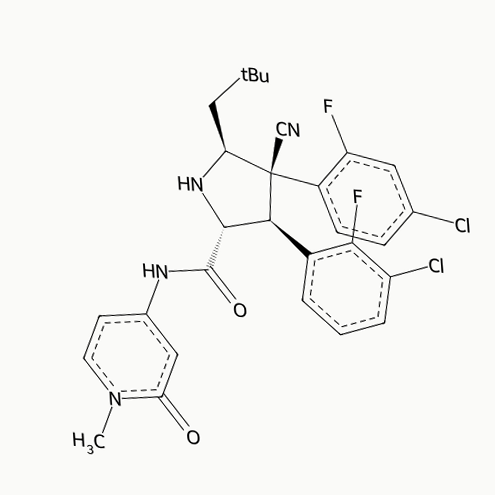 Cn1ccc(NC(=O)[C@@H]2N[C@@H](CC(C)(C)C)[C@](C#N)(c3ccc(Cl)cc3F)[C@H]2c2cccc(Cl)c2F)cc1=O